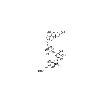 CCCCCCCCCCCCCC[C@@H](O)[C@@H](O)[C@@H](N)CO[C@H]1O[C@H](COC(=O)[C@@H](NC(=O)CC[C@@H](C)C2CCC3C4C(CC[C@@]32C)[C@@]2(C)CC[C@@H](O)CC2C[C@H]4O)C(C)C)[C@H](O)[C@H](O)[C@H]1O